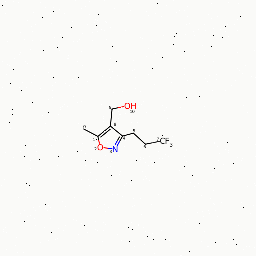 Cc1onc(CCC(F)(F)F)c1CO